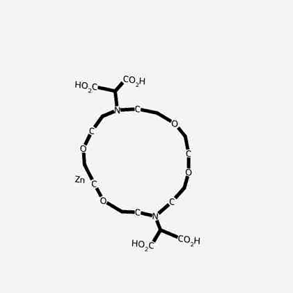 O=C(O)C(C(=O)O)N1CCOCCOCCN(C(C(=O)O)C(=O)O)CCOCCOCC1.[Zn]